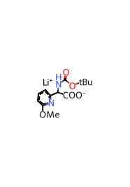 COc1cccc(C(NC(=O)OC(C)(C)C)C(=O)[O-])n1.[Li+]